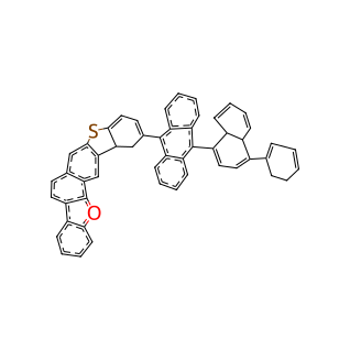 C1=CCCC(C2=CC=C(c3c4ccccc4c(C4=CC=C5Sc6cc7ccc8c9ccccc9oc8c7cc6C5C4)c4ccccc34)C3C=CC=CC23)=C1